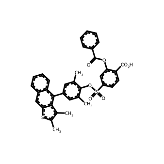 Cc1cc(-c2c3ccccc3cc3sc(C)c(C)c23)cc(C)c1OS(=O)(=O)c1ccc(C(=O)O)c(OC(=O)c2ccccc2)c1